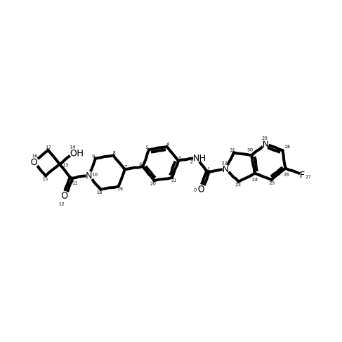 O=C(Nc1ccc(C2CCN(C(=O)C3(O)COC3)CC2)cc1)N1Cc2cc(F)cnc2C1